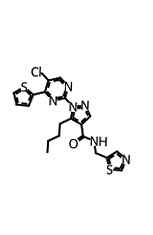 CCCCc1c(C(=O)NCc2cncs2)cnn1-c1ncc(Cl)c(-c2cccs2)n1